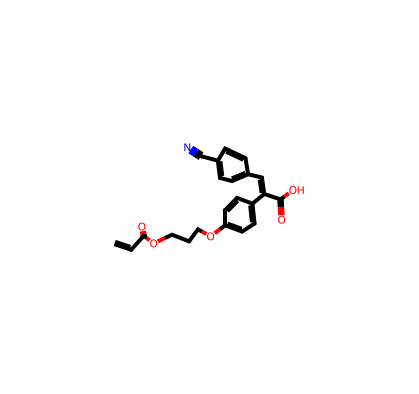 C=CC(=O)OCCCOc1ccc(/C(=C\c2ccc(C#N)cc2)C(=O)O)cc1